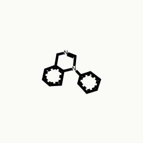 C1=NCc2ccccc2N1c1ccccc1